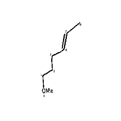 [CH2]OCCCC=CC